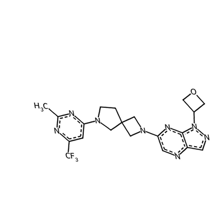 Cc1nc(N2CCC3(C2)CN(c2cnc4cnn(C5COC5)c4n2)C3)cc(C(F)(F)F)n1